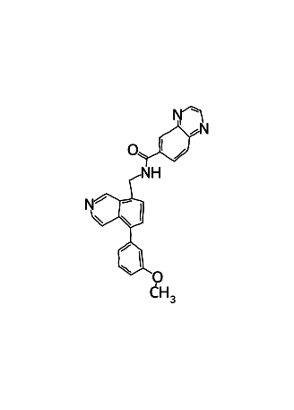 COc1cccc(-c2ccc(CNC(=O)c3ccc4nccnc4c3)c3cnccc23)c1